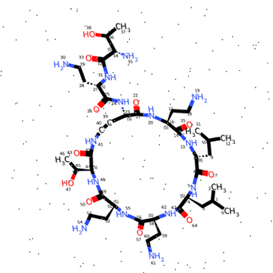 CC(C)C[C@@H]1NC(=O)[C@@H](CC(C)C)NC(=O)[C@H](CCN)NC(=O)[C@@H](NC(=O)[C@H](CCN)NC(=O)[C@@H](N)C(C)O)CCNC(=O)[C@H](C(C)O)NC(=O)[C@H](CCN)NC(=O)[C@H](CCN)NC1=O